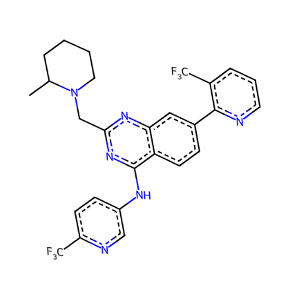 CC1CCCCN1Cc1nc(Nc2ccc(C(F)(F)F)nc2)c2ccc(-c3ncccc3C(F)(F)F)cc2n1